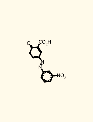 O=C(O)C1=CC(N=Nc2cccc([N+](=O)[O-])c2)=CCC1=O